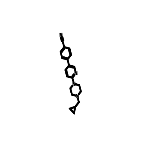 N#Cc1ccc(-c2ccc(N3CCN(CC4CC4)CC3)nc2)cc1